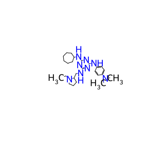 CCN1CCCC1CNc1nc(Nc2ccc(N(C)C)cc2)nc(NC2CCCCCC2)n1